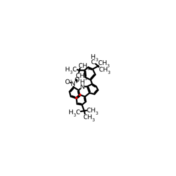 CC(C)(C)c1cccc(-c2cccc(-c3cc(C(C)(C)C)cc(C(C)(C)C)c3)c2Nc2ccccc2[N+](=O)[O-])c1